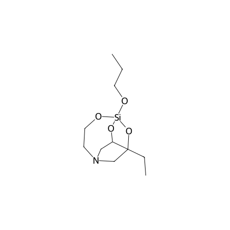 CCCO[Si]12OCCN(CCO1)CC(CC)O2